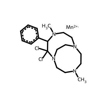 CN1CCN2CCN(C)C(c3ccccc3)C(Cl)(Cl)N(CC1)CC2.[Mn+2]